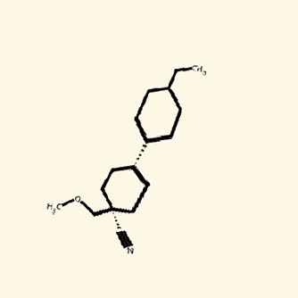 CCC1CCC([C@H]2CC[C@](C#N)(COC)CC2)CC1